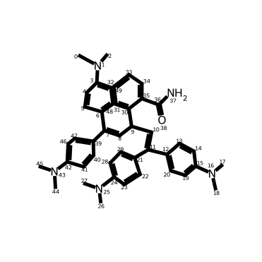 CN(C)c1ccc(C(=CC(C=C(c2ccc(N(C)C)cc2)c2ccc(N(C)C)cc2)c2ccccc2C(N)=O)c2ccc(N(C)C)cc2)cc1